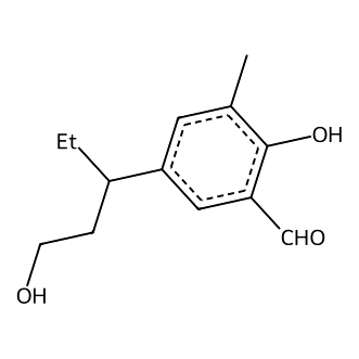 CCC(CCO)c1cc(C)c(O)c(C=O)c1